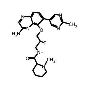 Cc1ncc(-c2ccc3ncc(N)nc3c2OCC(F)CNC(=O)C2CCCCN2C)cn1